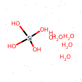 O.O.O.O.O.O[Si](O)(O)O